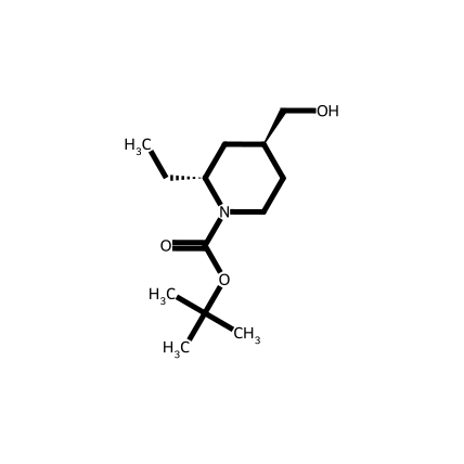 CC[C@@H]1C[C@@H](CO)CCN1C(=O)OC(C)(C)C